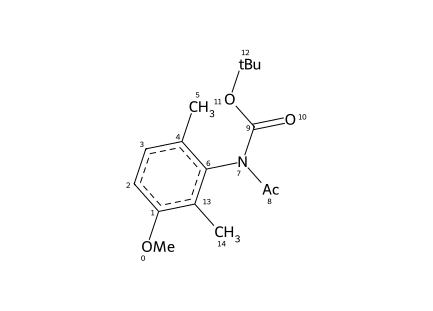 COc1ccc(C)c(N(C(C)=O)C(=O)OC(C)(C)C)c1C